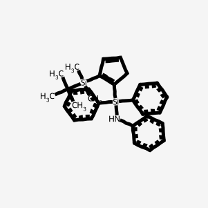 CC(C)(C)[Si](C)(C)C1=C([Si](Nc2ccccc2)(c2ccccc2)c2ccccc2)CC=C1